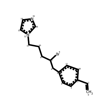 C=Cc1ccc(CC(Br)CCCn2ccnc2)cc1